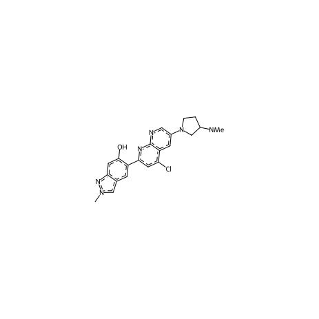 CNC1CCN(c2cnc3nc(-c4cc5cn(C)nc5cc4O)cc(Cl)c3c2)C1